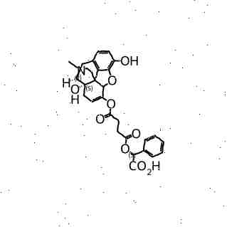 CN1CCC23c4c5ccc(O)c4OC2C(OC(=O)CCC(=O)O[C@H](C(=O)O)c2ccccc2)=CC[C@@]3(O)[C@H]1C5